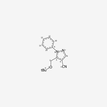 CC(C)(C)OCc1c(C#N)cnn1-c1ccccc1